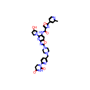 Cc1cc(-c2nc(C(=O)Nc3cc4oc(N5CCN(Cc6ccc(N7CCC(=O)NC7=O)nc6)CC5)nc4nc3N3CC[C@@H](O)C3)co2)ccn1